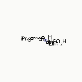 CCC(CC)(CC(=O)Nc1cccc(/C=C/c2cccc(OCCCCCc3ccc(OCCC(C)C)cc3)n2)c1)C(=O)O